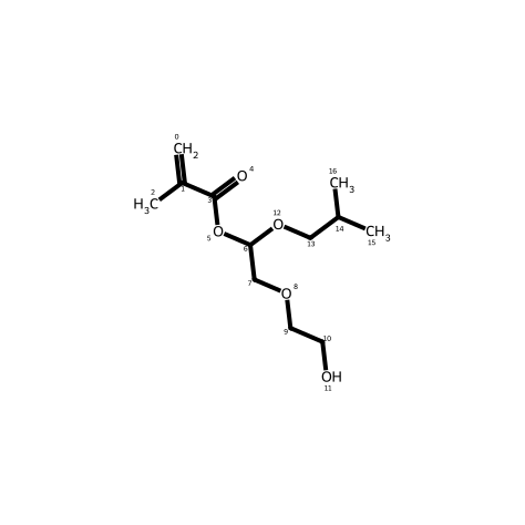 C=C(C)C(=O)OC(COCCO)OCC(C)C